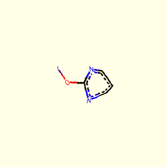 IOc1ncccn1